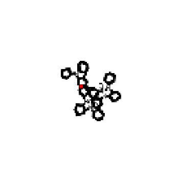 O=P1(c2cc(-c3ccc4c(c3)c3ccccc3n4-c3ccccc3)cc(P3(=O)N(c4ccccc4)c4ccccc4N3c3ccccc3)c2)N(c2ccccc2)c2ccccc2N1c1ccccc1